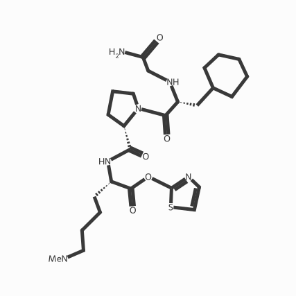 CNCCCC[C@H](NC(=O)[C@@H]1CCCN1C(=O)[C@@H](CC1CCCCC1)NCC(N)=O)C(=O)Oc1nccs1